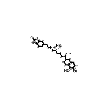 Br.Br.CCCN(CCCCCNCCc1ccc2[nH]c(=O)sc2c1)C1CCc2c(ccc(O)c2O)C1